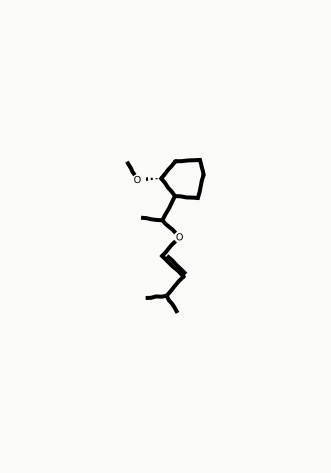 CO[C@@H]1CCCCC1C(C)O/C=C/C(C)C